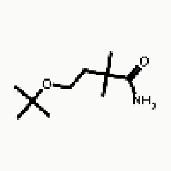 CC(C)(C)OCCC(C)(C)C(N)=O